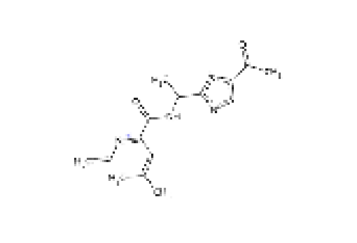 C=C/N=C(\C=C(C)C)C(=O)NC(C)c1ncc(C(C)=O)s1